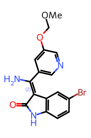 COCOc1cncc(/C(N)=C2/C(=O)Nc3ccc(Br)cc32)c1